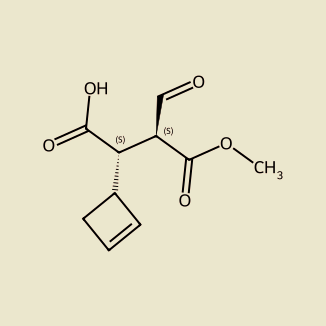 COC(=O)[C@H](C=O)[C@@H](C(=O)O)C1C=CC1